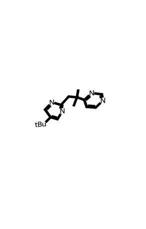 CC(C)(C)c1cnc(CC(C)(C)c2ccncn2)nc1